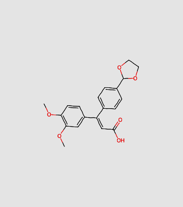 COc1ccc(/C(=C/C(=O)O)c2ccc(C3OCCO3)cc2)cc1OC